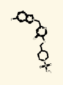 CS(=O)(=O)N1CCC(COc2coc(Cn3cc4ccc(F)cc4c3)cc2=O)CC1